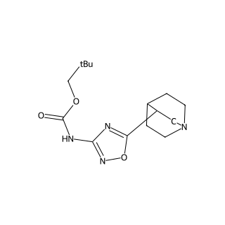 CC(C)(C)COC(=O)Nc1noc(C2CN3CCC2CC3)n1